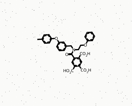 Cc1ccc(Oc2cccc(CN(CCOc3ccccc3)C(=O)c3cc(C(=O)O)c(C(=O)O)cc3C(=O)O)c2)cc1